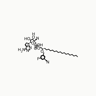 CCCCCCCCCCCCCCCCCC[C@H](COP(=O)(O)OC[C@@]1(C#N)O[C@@H](C2CC=C3C(N)=NC=NN32)[C@H](O)[C@@H]1O)OCc1cc(F)cc(C#N)c1